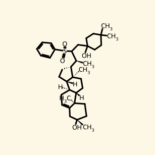 C[C@H](C(CC1(O)CCC(C)(C)CC1)S(=O)(=O)c1ccccc1)[C@H]1CC[C@H]2[C@@H]3CC=C4C[C@@](C)(O)CC[C@]4(C)[C@H]3CC[C@]12C